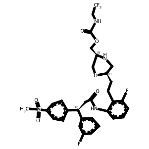 CS(=O)(=O)c1ccc([C@@H](CC(=O)Nc2cccc(F)c2CC[C@@H]2CN[C@H](COC(=O)NCC(F)(F)F)CO2)c2cccc(F)c2)cc1